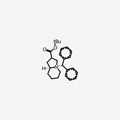 CC(C)(C)OC(=O)C1C[C@@H]2CCCC[N@+]2(C(c2ccccc2)c2ccccc2)C1